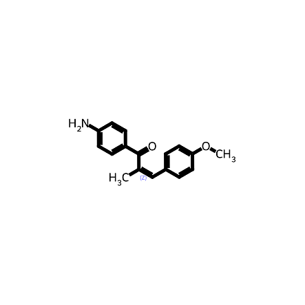 COc1ccc(/C=C(/C)C(=O)c2ccc(N)cc2)cc1